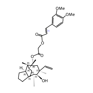 C=C[C@]1(C)C[C@@H](OC(=O)COC(=O)/C=C/c2ccc(OC)c(OC)c2)[C@]2(C)[C@H](C)CC[C@]3(CCC[C@H]32)[C@@H](C)[C@@H]1O